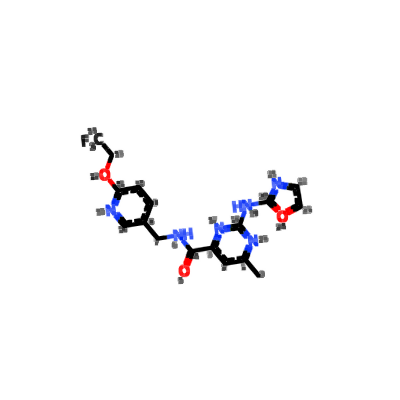 Cc1cc(C(=O)NCc2ccc(OCC(F)(F)F)nc2)nc(Nc2ncco2)n1